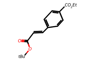 CCOC(=O)c1ccc(C=CC(=O)OC(C)(C)C)cc1